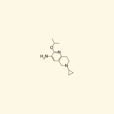 CC(C)Oc1nc2c(cc1N)CN(C1CC1)CC2